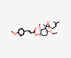 CCO[C@@H]1CC[C@@H](OC(=O)/C=C/c2ccc(OC)cc2)[C@@H](OC)C1[C@]1(C)O[C@H]1CC=C(C)C